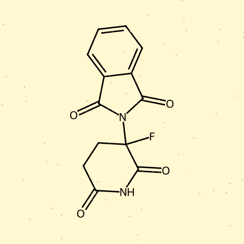 O=C1CCC(F)(N2C(=O)c3ccccc3C2=O)C(=O)N1